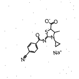 CC1C(C(=O)[O-])SC(=NC(=O)c2ccc(C#N)cc2)N1C1CC1.[Na+]